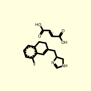 Fc1cccc2c1C=C(CC1CNC=N1)CC2.O=C(O)/C=C/C(=O)O